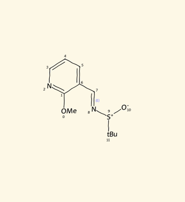 COc1ncccc1/C=N/[S+]([O-])C(C)(C)C